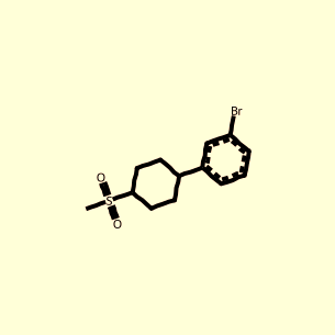 CS(=O)(=O)C1CCC(c2cccc(Br)c2)CC1